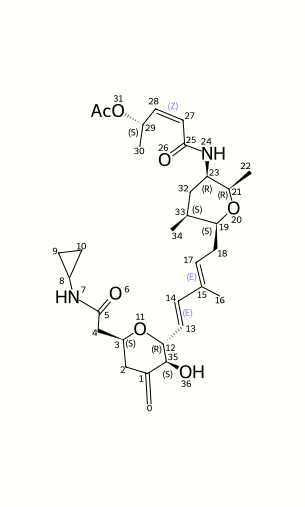 C=C1C[C@@H](CC(=O)NC2CC2)O[C@H](/C=C/C(C)=C/C[C@@H]2O[C@H](C)[C@H](NC(=O)/C=C\[C@H](C)OC(C)=O)C[C@@H]2C)[C@H]1O